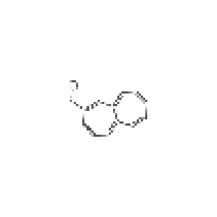 O=CC1=CC2=CC=CC=CC2=CC=C1